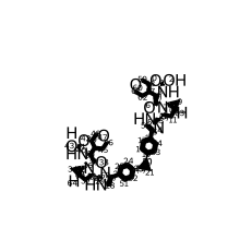 O=C(O)N[C@@H](C(=O)N1C2C[C@@H]2C[C@H]1c1nc(-c2ccc([C@H]3C[C@@H]3c3ccc(-c4c[nH]c([C@@H]5C[C@H]6CC6N5C(=O)[C@H](NC(=O)O)C5CCOCC5)n4)cc3)cc2)c[nH]1)C1CCOCC1